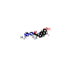 Cc1nccc(N2CCN(C(=O)CCC(C)[C@H]3CC[C@H]4[C@@H]5CC=C6C[C@@H](O)CC[C@]6(C)[C@H]5CC[C@]34C)CC2)n1